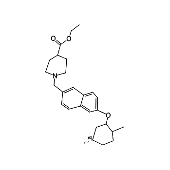 CCOC(=O)C1CCN(Cc2ccc3cc(OC4C[C@@H](C)CCC4C)ccc3c2)CC1